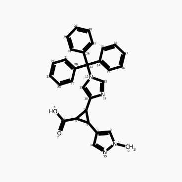 Cn1cc(C2C(C(=O)O)C2c2cn(C(c3ccccc3)(c3ccccc3)c3ccccc3)cn2)cn1